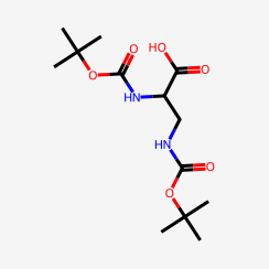 CC(C)(C)OC(=O)NCC(NC(=O)OC(C)(C)C)C(=O)O